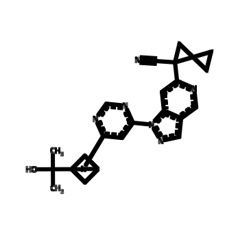 CC(C)(O)C12CC(C1)N(c1cc(-n3ncc4cnc(C5(C#N)CC56CC6)cc43)ncn1)C2